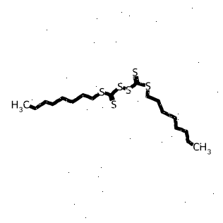 CCCCCCCCSC(=S)SSC(=S)SCCCCCCCC